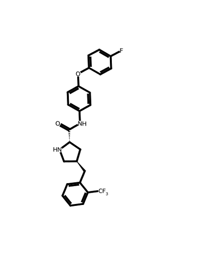 O=C(Nc1ccc(Oc2ccc(F)cc2)cc1)[C@@H]1C[C@@H](Cc2ccccc2C(F)(F)F)CN1